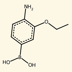 CCOc1cc(B(O)O)ccc1N